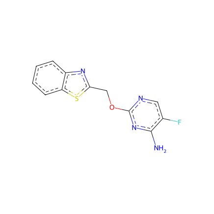 Nc1nc(OCc2nc3ccccc3s2)ncc1F